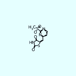 CS(=O)(=O)c1nccc(/C=C2/SC(=O)NC2=O)n1